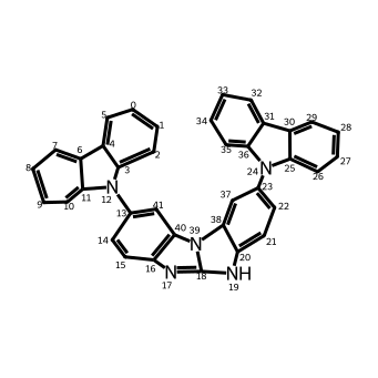 c1ccc2c(c1)c1ccccc1n2-c1ccc2nc3[nH]c4ccc(-n5c6ccccc6c6ccccc65)cc4n3c2c1